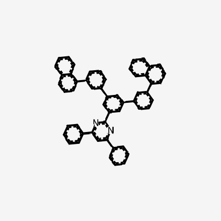 c1ccc(-c2cc(-c3ccccc3)nc(-c3cc(-c4cccc(-c5cccc6ccccc56)c4)cc(-c4cccc(-c5cccc6ccccc56)c4)c3)n2)cc1